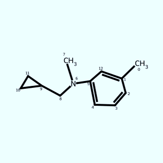 Cc1cccc(N(C)CC2CC2)c1